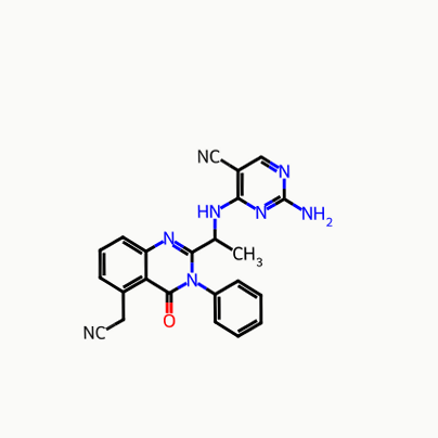 CC(Nc1nc(N)ncc1C#N)c1nc2cccc(CC#N)c2c(=O)n1-c1ccccc1